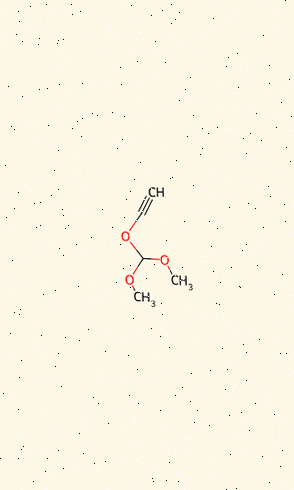 C#COC(OC)OC